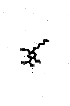 CC(=O)OCCCOc1cc([N+](=O)[O-])c(C(C)O)cc1CO